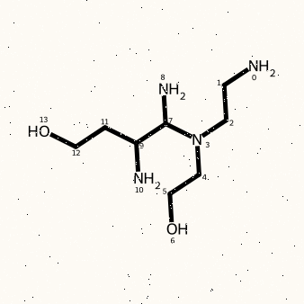 NCCN(CCO)C(N)C(N)CCO